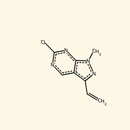 C=Cc1nn(C)c2nc(Cl)ncc12